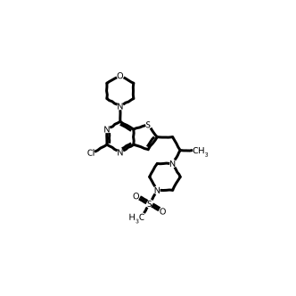 CC(Cc1cc2nc(Cl)nc(N3CCOCC3)c2s1)N1CCN(S(C)(=O)=O)CC1